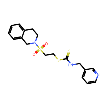 O=S(=O)(CCSC(=S)NCc1cccnc1)N1CCc2ccccc2C1